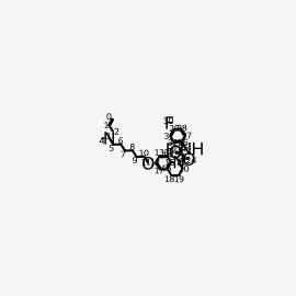 C=CCN(C)CCCCCCOc1ccc2c(c1)CCCN2S(=O)(=O)Nc1ccc(F)cc1F